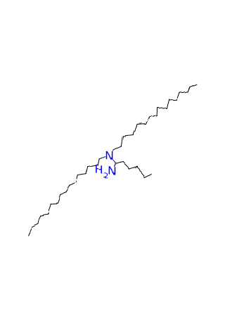 CCCCCCCCCCCCCCCCN(CCCCCCCCCCCCCCCC)C(N)CCCCC